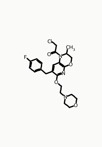 CC1COc2nc(OCCN3CCOCC3)c(Cc3ccc(F)cc3)cc2N1C(=O)CCl